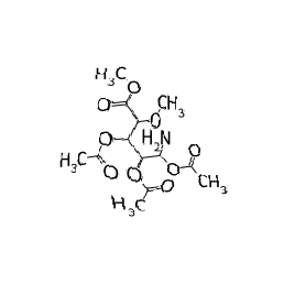 COC(=O)C(OC)C(OC(C)=O)C(OC(C)=O)C(N)OC(C)=O